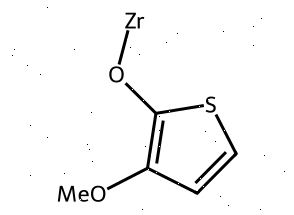 COc1ccsc1[O][Zr]